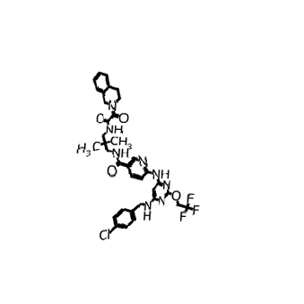 CC(C)(CNC(=O)C(=O)N1CCc2ccccc2C1)CNC(=O)c1ccc(Nc2cc(NCc3ccc(Cl)cc3)nc(OCC(F)(F)F)n2)nc1